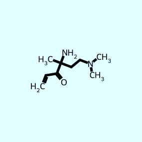 C=CC(=O)C(C)(N)CCN(C)C